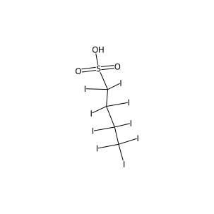 O=S(=O)(O)C(I)(I)C(I)(I)C(I)(I)C(I)(I)I